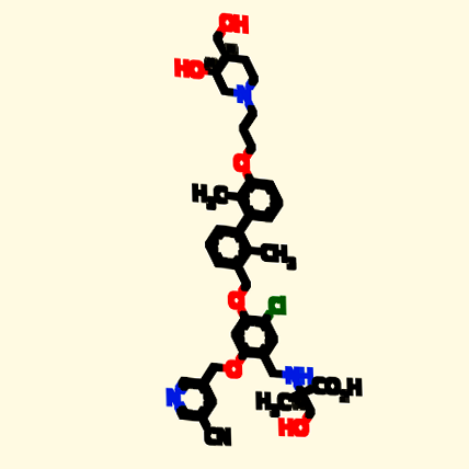 Cc1c(COc2cc(OCc3cncc(C#N)c3)c(CN[C@@](C)(CO)C(=O)O)cc2Cl)cccc1-c1cccc(OCCCN2CC[C@H](CO)[C@H](O)C2)c1C